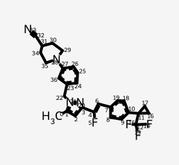 Cc1cc(/C(F)=C/c2ccc(C3(C(F)(F)F)CC3)cc2)nn1Cc1cccc(N2CCC(C#N)CC2)c1